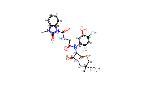 Cn1c(=O)n(C(=O)NCC(=O)N(c2ccc(F)c(O)c2)C2C(=O)N3CC(C)(C(=O)O)CS[C@H]23)c2ccccc21